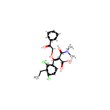 CCc1c(Cl)ccc(C(OCC(=O)c2ccccc2)=C(C(=O)O)C(=O)N(C)C)c1Cl